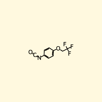 O=C=Nc1ccc(OCC(F)(F)F)cc1